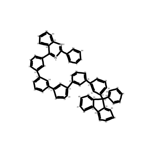 c1ccc(-c2nc(-c3cccc(-c4cccc(-c5cccc(-c6cccc(-c7cccc(C8(c9ccccc9)c9ccccc9-c9ccccc98)c7)c6)c5)c4)c3)c3ccccc3n2)cc1